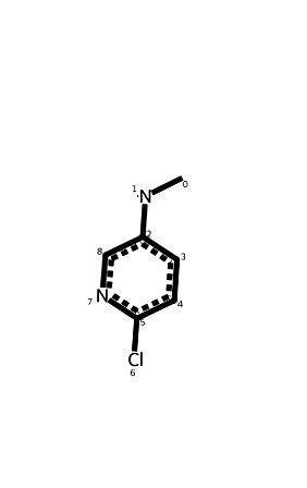 C[N]c1ccc(Cl)nc1